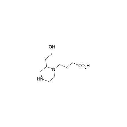 O=C(O)CCCN1CCNCC1CCO